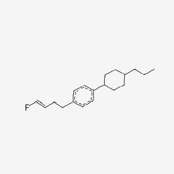 CCCC1CCC(c2ccc(CCC=CF)cc2)CC1